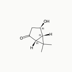 CC1(C)[C@H]2[C@H](O)CC(=O)[C@H]21